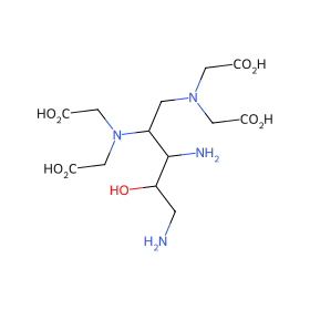 NCC(O)C(N)C(CN(CC(=O)O)CC(=O)O)N(CC(=O)O)CC(=O)O